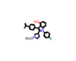 C=C(C)c1ccc(-c2c(C3CCN(SC)C3)n(-c3ccc(F)cc3)c3cccc(O)c23)cc1